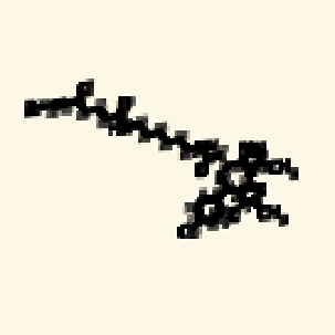 Cc1sc2c(c1C)C(c1ccc(Cl)cc1)=N[C@H](CC(=O)NCCCCCCNC(=O)CCCC(Cl)C#CBr)c1nnc(C)n1-2